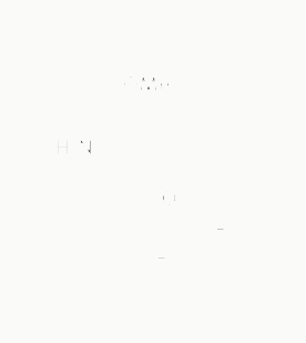 COC(CN)c1ccccc1OC(F)F